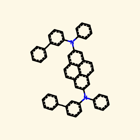 c1ccc(-c2cccc(N(c3ccccc3)c3cc4ccc5cc(N(c6ccccc6)c6cccc(-c7ccccc7)c6)cc6ccc(c3)c4c56)c2)cc1